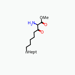 CCCCCCCCCCCCC(=O)C(N)C(=O)OC